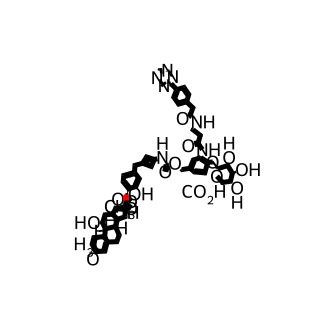 C[C@]12C=CC(=O)C=C1CC[C@@H]1[C@@H]2[C@@H](O)C[C@@]2(C)[C@H]1C[C@H]1O[C@@H](c3ccc(CC45CC(NC(=O)OCc6ccc(O[C@@H]7O[C@H](C(=O)O)[C@@H](O)[C@H](O)[C@H]7O)c(NC(=O)CCNC(=O)Cc7ccc(-c8nncnn8)cc7)c6)(C4)C5)cc3)O[C@]12C(=O)CO